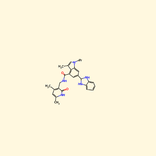 Cc1cc(C)c(CNC(=O)c2cc(C3Nc4ccccc4N3)cc3c2c(C)cn3C(C)C)c(=O)[nH]1